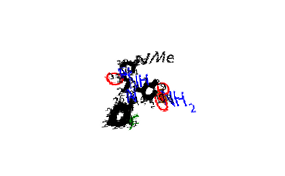 C=C/C=C(\C=C/CS(N)(=O)=O)C1NC(C(=O)N2CCC(NC)C2)=CN1Cc1ccccc1F